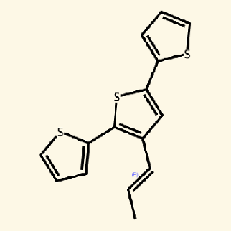 C/C=C/c1cc(-c2cccs2)sc1-c1cccs1